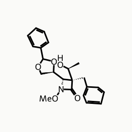 CON1C(=O)[C@](Cc2ccccc2)([C@H](C)O)[C@H]1[C@H]1COC(c2ccccc2)O1